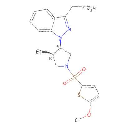 CCOc1ccc(S(=O)(=O)N2C[C@@H](CC)[C@@H](n3nc(CC(=O)O)c4ccccc43)C2)s1